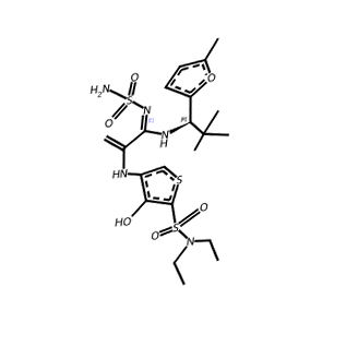 C=C(Nc1csc(S(=O)(=O)N(CC)CC)c1O)/C(=N\S(N)(=O)=O)N[C@@H](c1ccc(C)o1)C(C)(C)C